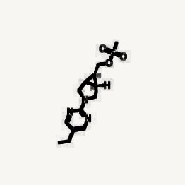 CCc1cnc(N2CC3[C@@H](COS(C)(=O)=O)[C@@H]3C2)nc1